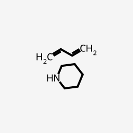 C1CCNCC1.C=CC=C